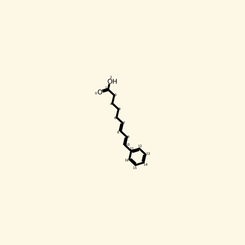 O=C(O)CCCC/C=C/C=Cc1ccccc1